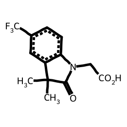 CC1(C)C(=O)N(CC(=O)O)c2ccc(C(F)(F)F)cc21